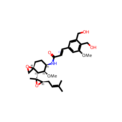 COc1cc(/C=C/C(=O)N[C@@H]2CC[C@]3(CO3)[C@@H](C3(C)O[C@@H]3CC=C(C)C)[C@@H]2OC)cc(CO)c1CO